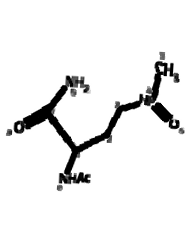 CC(=O)NC(CC[PH](C)=O)C(N)=O